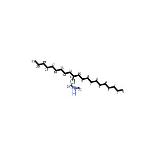 CCCCCCCCCCCC(Cl)CCCCCCCCC.CNC